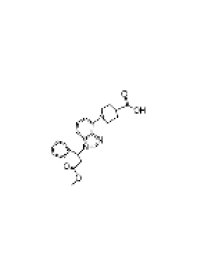 COC(=O)CC(c1ccccc1)n1cnc2c(N3CCC(C(=O)O)CC3)cccc21